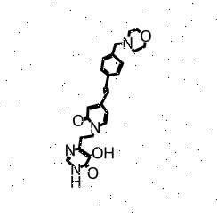 O=c1[nH]cnc(CCn2ccc(C#Cc3ccc(CN4CCOCC4)cc3)cc2=O)c1O